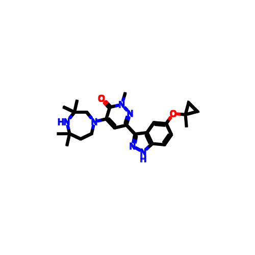 Cn1nc(-c2n[nH]c3ccc(OC4(C)CC4)cc23)cc(N2CCC(C)(C)NC(C)(C)C2)c1=O